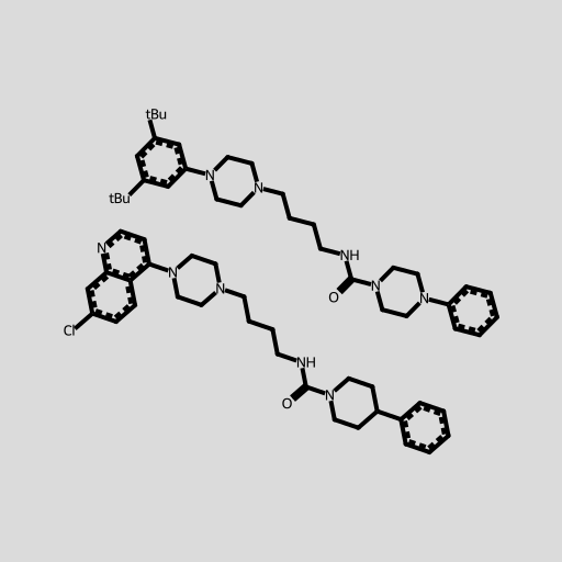 CC(C)(C)c1cc(N2CCN(CCCCNC(=O)N3CCN(c4ccccc4)CC3)CC2)cc(C(C)(C)C)c1.O=C(NCCCCN1CCN(c2ccnc3cc(Cl)ccc23)CC1)N1CCC(c2ccccc2)CC1